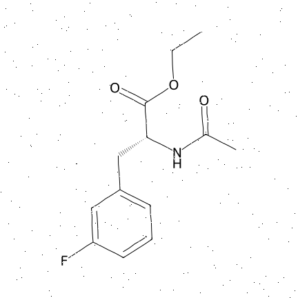 CCOC(=O)[C@@H](Cc1cccc(F)c1)NC(C)=O